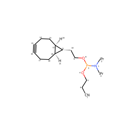 CC(C)N(C(C)C)P(OCCC#N)OCC[C@H]1[C@@H]2CCC#CCC[C@@H]21